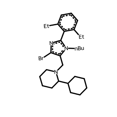 CCCCn1c(-c2c(CC)cccc2CC)nc(Br)c1CN1CCCCC1C1CCCCC1